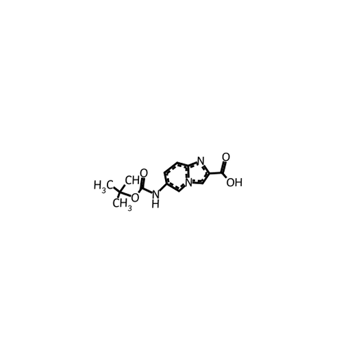 CC(C)(C)OC(=O)Nc1ccc2nc(C(=O)O)cn2c1